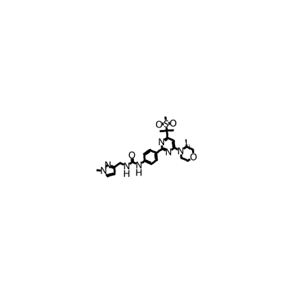 C[C@H]1COCCN1c1cc(C(C)(C)S(C)(=O)=O)nc(-c2ccc(NC(=O)NCc3ccn(C)n3)cc2)n1